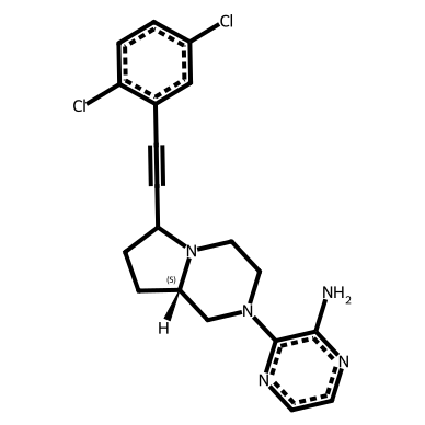 Nc1nccnc1N1CCN2C(C#Cc3cc(Cl)ccc3Cl)CC[C@H]2C1